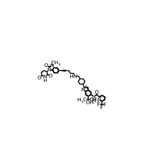 Cn1c(=O)n(C2CCC(=O)NC2=O)c2ccc(C#CCCCNCC3CCC(n4cc5cc(NC(=O)c6cccc(C(F)(F)F)n6)c(C(C)(C)O)cc5n4)CC3)cc21